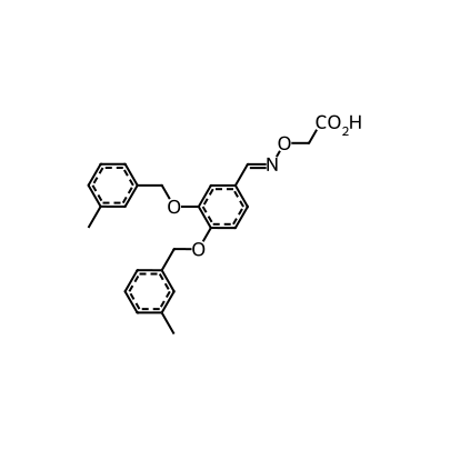 Cc1cccc(COc2ccc(C=NOCC(=O)O)cc2OCc2cccc(C)c2)c1